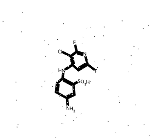 Nc1ccc(Nc2cc(F)nc(F)c2Cl)c(S(=O)(=O)O)c1